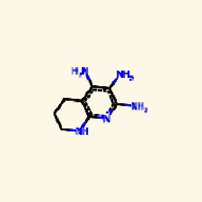 Nc1nc2c(c(N)c1N)CCCN2